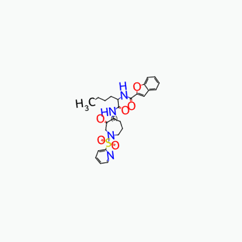 CCCCC(NC(=O)c1cc2ccccc2o1)C(=O)N[C@H]1CCCN(S(=O)(=O)c2ccccn2)CC1=O